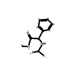 COC(=O)C(NC(F)F)c1ccccc1